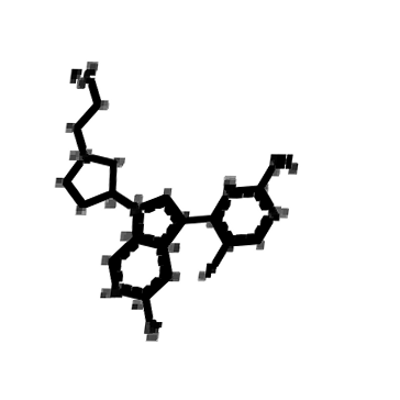 Nc1ncc(F)c(-c2cn(C3CCN(CCC(F)(F)F)C3)c3cnc(Br)cc23)n1